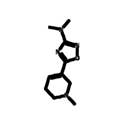 CN1CCC=C(c2nc(N(C)C)no2)C1